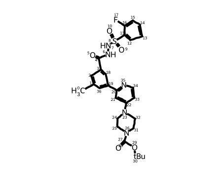 Cc1cc(C(=O)NNS(=O)(=O)c2ccccc2F)cc(-c2cc(N3CCN(C(=O)OC(C)(C)C)CC3)ccn2)c1